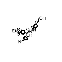 CCS(=O)(=O)c1ccc(C(Oc2ccc(C#N)cc2)C(=O)Nc2nc3ccc(OCCO)cc3s2)cc1